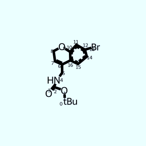 CC(C)(C)OC(=O)NCC1=CCOc2cc(Br)ccc21